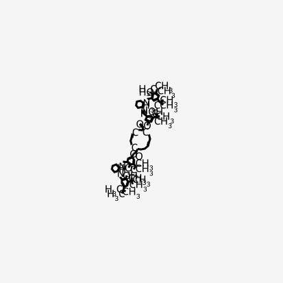 CC(C)(C)c1cc(/C=N/[C@@H]2CCCC[C@H]2/N=C/c2cc(OC(=O)C3CCC=CCCCC(C(=O)Oc4cc(/C=N/[C@@H]5CCCC[C@H]5/N=C/c5cc(C(C)(C)C)cc(C(C)(C)C)c5O)c(O)c(C(C)(C)C)c4)CCC=CCCC3)cc(C(C)(C)C)c2O)c(O)c(C(C)(C)C)c1